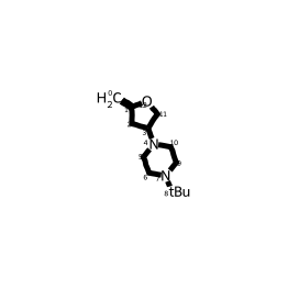 C=C1CC(N2CCN(C(C)(C)C)CC2)CO1